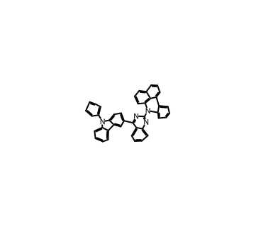 c1ccc(-n2c3ccccc3c3cc(-c4nc(N5c6ccccc6-c6cccc7cccc5c67)nc5ccccc45)ccc32)cc1